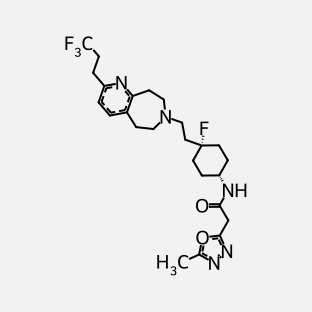 Cc1nnc(CC(=O)N[C@H]2CC[C@](F)(CCN3CCc4ccc(CCC(F)(F)F)nc4CC3)CC2)o1